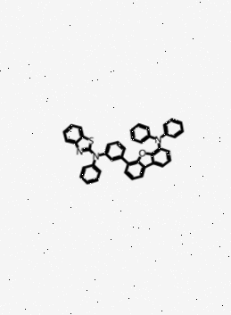 c1ccc(N(c2cccc(-c3cccc4c3oc3c(N(c5ccccc5)c5ccccc5)cccc34)c2)c2nc3ccccc3s2)cc1